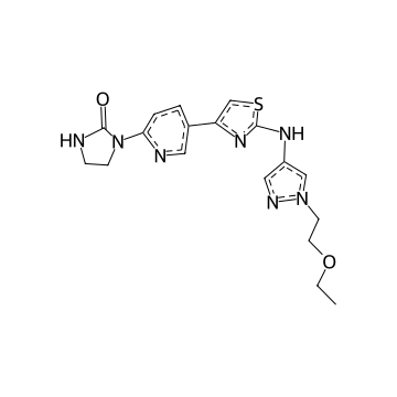 CCOCCn1cc(Nc2nc(-c3ccc(N4CCNC4=O)nc3)cs2)cn1